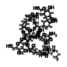 CN[C@H](CC(C)C)C(=O)N[C@H]1C(=O)N[C@@H](CC(N)=O)C(=O)N[C@H]2CN[C@H]3C(=O)N[C@H](C(=O)N[C@H](C(=O)O)c4cc(O)cc(O)c4-c4cc3ccc4O)[C@H](O)c3ccc(c(Cl)c3)Oc3cc2cc(c3O[C@@H]2OC(CO)C(O)[C@H](O)[C@H]2O[C@H]2CC(C)(N)[C@H](O)[C@H](C)O2)Oc2ccc(cc2Cl)[C@H]1O